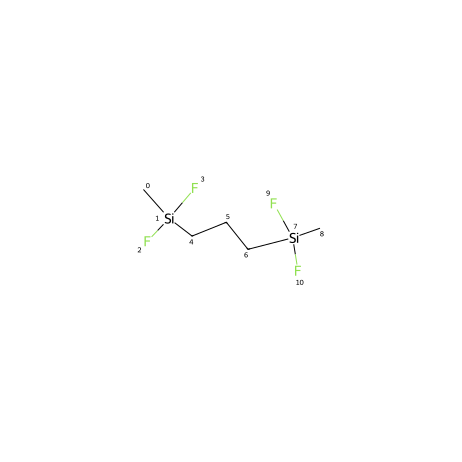 C[Si](F)(F)CCC[Si](C)(F)F